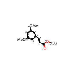 COc1cc(C=CC(=O)OC(C)(C)C)cc(OC)c1